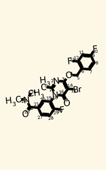 Cc1nc(OCc2ccc(F)cc2F)c(Br)c(=O)n1-c1cc(C(=O)N(C)C)ccc1F